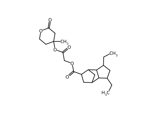 CCC1CC(CC)C2C3CC(CC3C(=O)OCC(=O)OC3(C)CCOC(=O)C3)C12